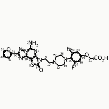 Nc1nc2c(sc(=O)n2CCN2CCN(c3c(F)cc(OCC(=O)O)cc3F)CC2)c2nc(-c3ccco3)nn12